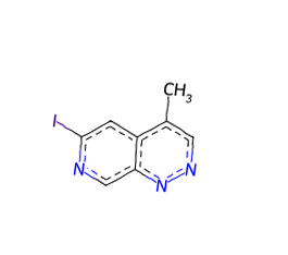 Cc1cnnc2cnc(I)cc12